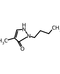 CCCCn1[nH]cc(C)c1=O